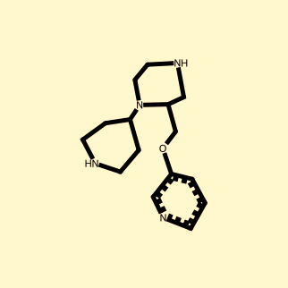 c1cncc(OCC2CNCCN2C2CCNCC2)c1